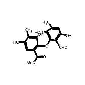 COC(=O)c1cc(O)c(C)c(O)c1Oc1c(C=O)c(O)cc(C)c1C(=O)O